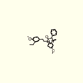 C=C(N)C(C(=O)N(CCc1ccc(OC)c(CC)c1)c1ccc(OC)cc1)c1ccccc1